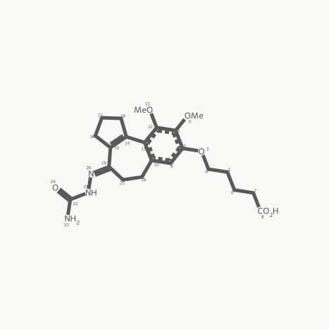 COc1c(OCCCCC(=O)O)cc2c(c1OC)C1=C(CCC1)C(=NNC(N)=O)CC2